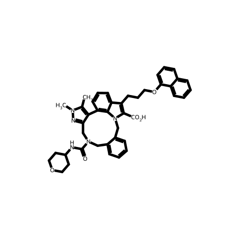 Cc1c2c(nn1C)CN(C(=O)NC1CCOCC1)Cc1ccccc1Cn1c(C(=O)O)c(CCCOc3cccc4ccccc34)c3cccc-2c31